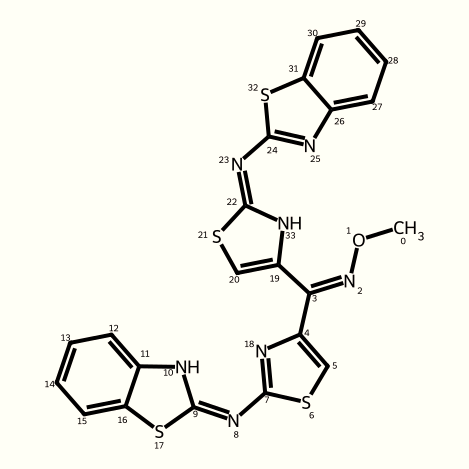 CO/N=C(/c1csc(/N=c2\[nH]c3ccccc3s2)n1)c1cs/c(=N/c2nc3ccccc3s2)[nH]1